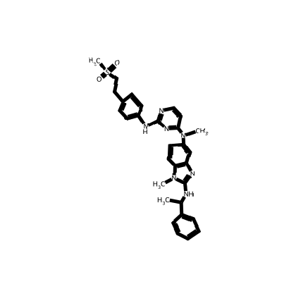 CC(Nc1nc2cc(N(C)c3ccnc(Nc4ccc(CCS(C)(=O)=O)cc4)n3)ccc2n1C)c1ccccc1